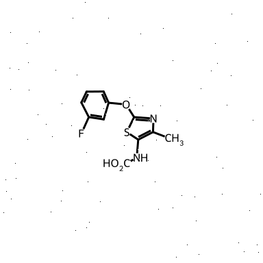 Cc1nc(Oc2cccc(F)c2)sc1NC(=O)O